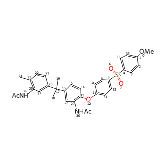 COc1ccc(S(=O)(=O)c2ccc(Oc3ccc(C(C)(C)c4ccc(C)c(NC(C)=O)c4)cc3NC(C)=O)cc2)cc1